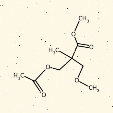 COCC(C)(COC(C)=O)C(=O)OC